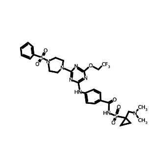 CN(C)CC1(S(=O)(=O)NC(=O)c2ccc(Nc3nc(OCC(F)(F)F)nc(N4CCN(S(=O)(=O)c5ccccc5)CC4)n3)cc2)CC1